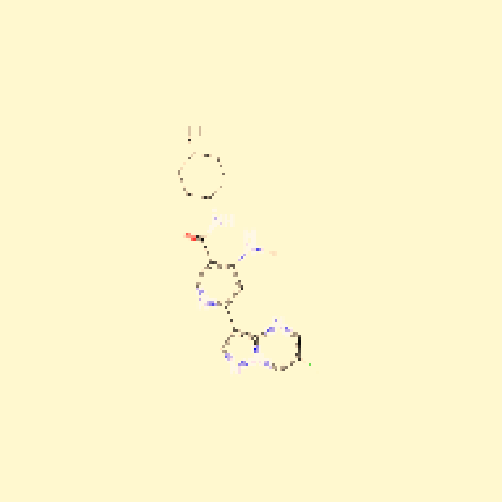 CC(=O)N[C@H]1CC[C@H](NC(=O)c2cnc(-c3cnn4cc(Cl)cnc34)cc2NC(C)C)CC1